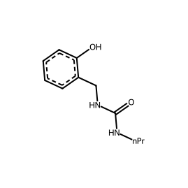 CCCNC(=O)NCc1ccccc1O